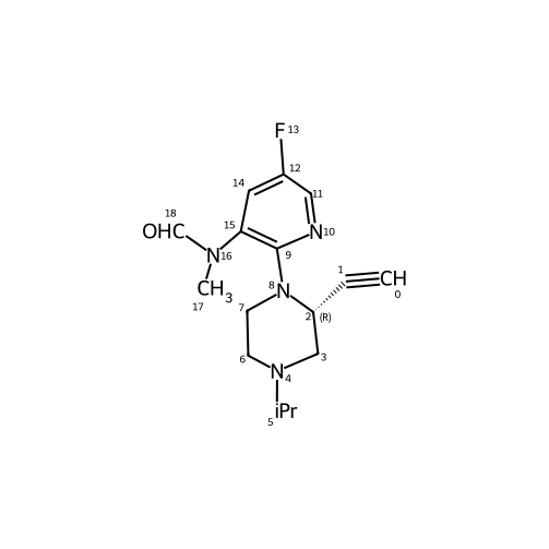 C#C[C@@H]1CN(C(C)C)CCN1c1ncc(F)cc1N(C)C=O